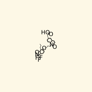 CCCc1c(OCCCn2c(=O)ccc3cc(CC(=O)O)ccc32)ccc2c(C(F)(F)F)noc12